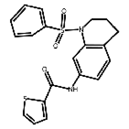 O=C(Nc1ccc2c(c1)N(S(=O)(=O)c1ccccc1)CCC2)c1cccs1